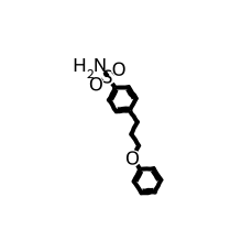 NS(=O)(=O)c1ccc(CCCOc2ccccc2)cc1